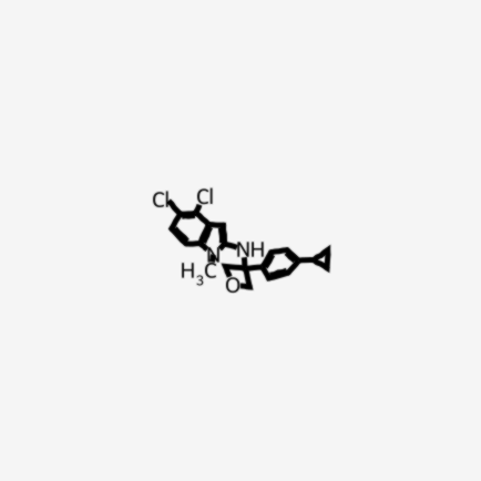 Cn1c(NC2(c3ccc(C4CC4)cc3)COC2)cc2c(Cl)c(Cl)ccc21